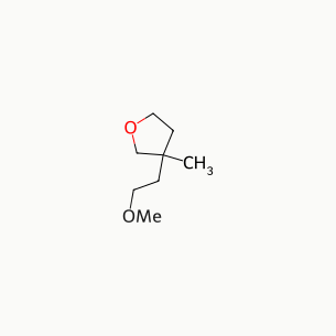 COCCC1(C)CCOC1